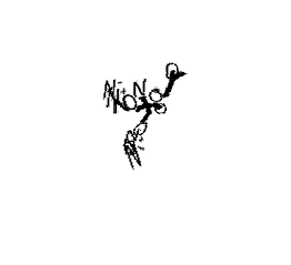 N#CC(CCON=[N+]=[N-])(CON=[N+]=[N-])C(=O)OCC1CO1